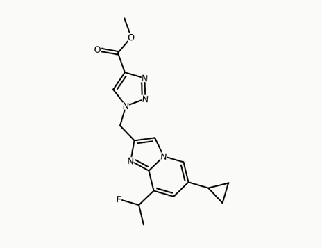 COC(=O)c1cn(Cc2cn3cc(C4CC4)cc(C(C)F)c3n2)nn1